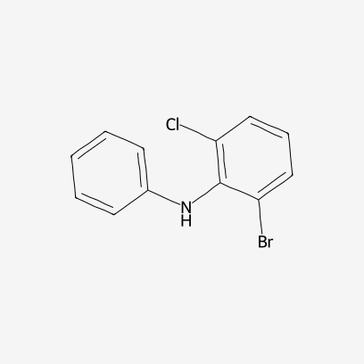 Clc1cccc(Br)c1Nc1ccccc1